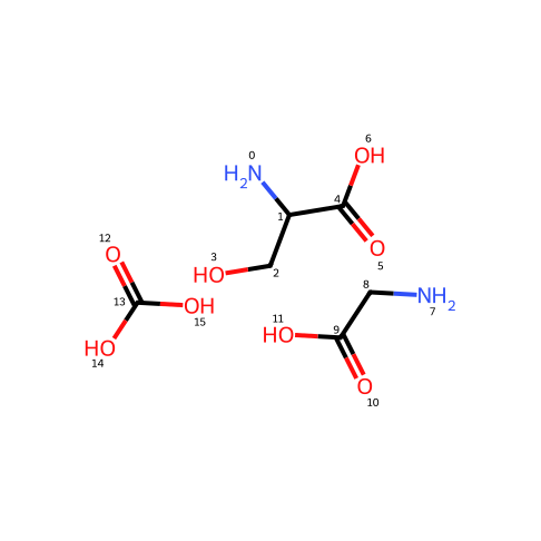 NC(CO)C(=O)O.NCC(=O)O.O=C(O)O